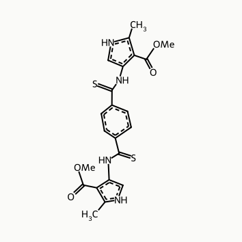 COC(=O)c1c(NC(=S)c2ccc(C(=S)Nc3c[nH]c(C)c3C(=O)OC)cc2)c[nH]c1C